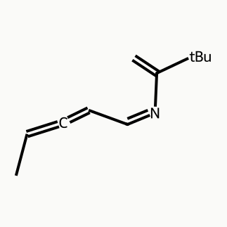 C=C(/N=C\C=C=CC)C(C)(C)C